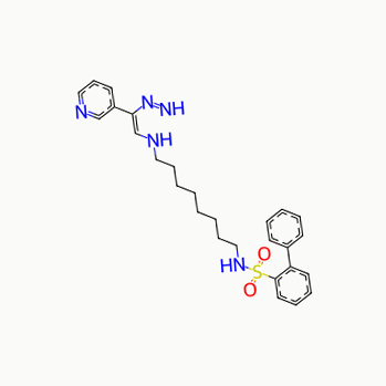 N=N/C(=C\NCCCCCCCCNS(=O)(=O)c1ccccc1-c1ccccc1)c1cccnc1